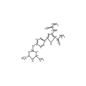 CC1CN(Cc2ccc(-c3cc(NC(N)=O)c(C(N)=O)s3)cc2)CC(C)O1